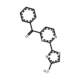 Cc1csc(-c2n[c]cc(C(=O)c3ccccc3)n2)n1